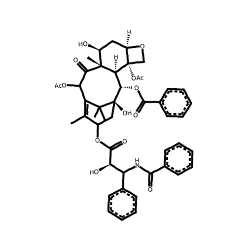 CC(=O)OC1C(=O)[C@@]2(C)[C@H]([C@H](OC(=O)c3ccccc3)[C@]3(O)CC(OC(=O)[C@H](O)C(NC(=O)c4ccccc4)c4ccccc4)C(C)=C1C3(C)C)[C@]1(OC(C)=O)CO[C@@H]1C[C@@H]2O